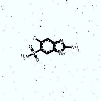 Nc1nc2cc(F)c(S(N)(=O)=O)cc2[nH]1